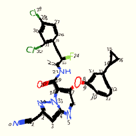 N#Cc1cc2ncc(Oc3cccc(C4CC4)c3)c(C(=O)NCC(F)c3ccc(Cl)cc3Cl)n2n1